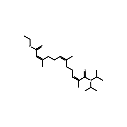 CCOC(=O)C=C(C)CCC=C(C)CCC=C(C)C(=O)N(C(C)C)C(C)C